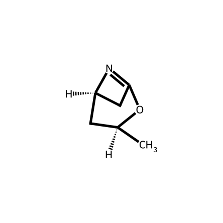 C[C@H]1C[C@@H]2CC(=N2)O1